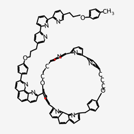 Cc1ccc(OCCCc2ccc(-c3cccc(-c4ccc(CCCOc5ccc(-c6ccc7ccc8ccc(-c9cc%10ccc9OCCCc9ccc(nc9)-c9cccc(n9)-c9ccc(cn9)CCCOc9ccc(cc9)Cc9ccc%11ccc%12ccc-%10nc%12c%11n9)nc8c7n6)cc5)cn4)n3)nc2)cc1